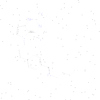 CC(CCn1ccc2nc(N)nc(N)c21)c1ccc(C(=O)N[C@H](CCC(=O)O)C(=O)O)cc1